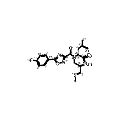 CSC[C@H]1CN(C(=O)c2noc(-c3ccc(F)cc3)n2)[C@@H](CC(C)C)C(=O)N1